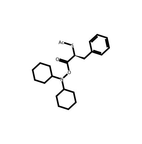 CC(=O)S[C@@H](Cc1ccccc1)C(=O)ON(C1CCCCC1)C1CCCCC1